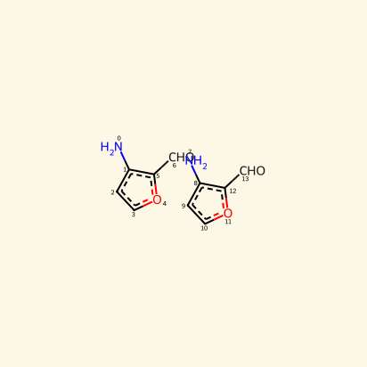 Nc1ccoc1C=O.Nc1ccoc1C=O